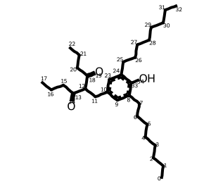 CCCCCCCCc1cc(CC(C(=O)CCC)C(=O)CCC)cc(CCCCCCCC)c1O